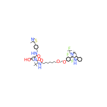 Cc1ncsc1-c1ccc(CNC(=O)[C@@H]2C[C@@H](O)CN2C(=O)C(NC(=O)CCCCCCCOCCOc2cc(F)c([C@@H]3c4[nH]c5ccccc5c4C[C@@H](C)N3CC(C)(C)F)c(F)c2)C(C)(C)C)cc1